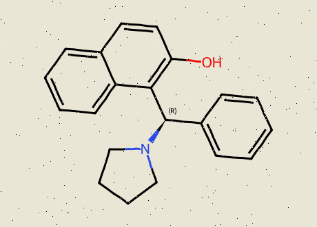 Oc1ccc2ccccc2c1[C@@H](c1ccccc1)N1CCCC1